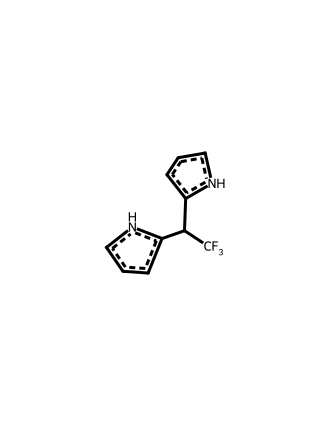 FC(F)(F)C(c1ccc[nH]1)c1ccc[nH]1